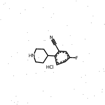 Cl.N#Cc1cc(F)ccc1C1CCNCC1